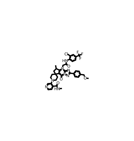 CNC(=O)c1ccncc1N1CCC2(CC1)CC(C)c1c2c(=O)n2nc(-c3ccc(COC)cc3)nc2n1CC(=O)Nc1ccc(C(F)(F)F)cc1Cl